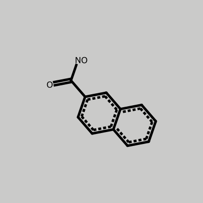 O=NC(=O)c1ccc2ccccc2c1